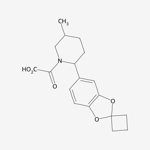 CC1CCC(c2ccc3c(c2)OC2(CCC2)O3)N(C(=O)C(=O)O)C1